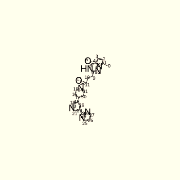 Cc1ccc2c(=O)[nH]c(CCCC(=O)N3CCC(c4cncc(-c5ncccn5)c4)CC3)nn12